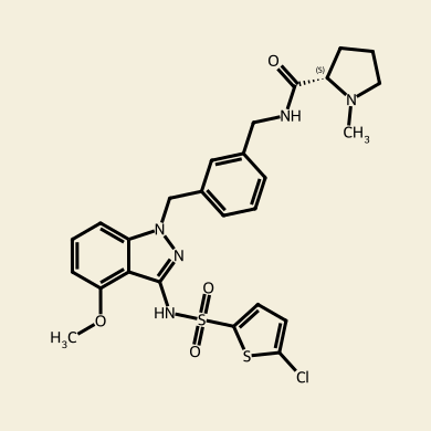 COc1cccc2c1c(NS(=O)(=O)c1ccc(Cl)s1)nn2Cc1cccc(CNC(=O)[C@@H]2CCCN2C)c1